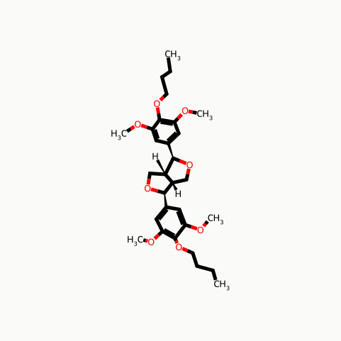 CCCCOc1c(OC)cc([C@H]2OC[C@H]3[C@@H]2CO[C@@H]3c2cc(OC)c(OCCCC)c(OC)c2)cc1OC